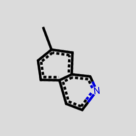 Cc1ccc2ccncc2c1